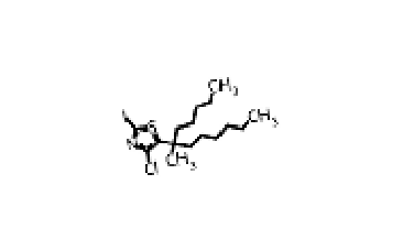 CCCCCCC(C)(CCCCC)c1sc(I)nc1Cl